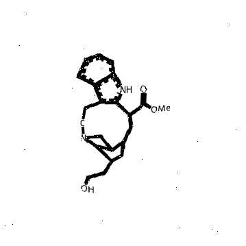 COC(=O)C1CC2CC(CCO)C3C2CN3CCc2c1[nH]c1ccccc21